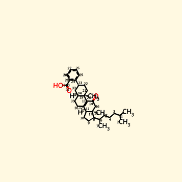 CC(C)CCC[C@@H](C)[C@H]1CC[C@H]2C3=C(C(=O)C[C@]12C)[C@@]1(C)CC[C@H](c2ccccc2C(=O)O)C[C@@H]1CC3